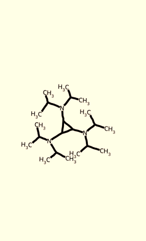 CC(C)N(C(C)C)C1C(N(C(C)C)C(C)C)C1N(C(C)C)C(C)C